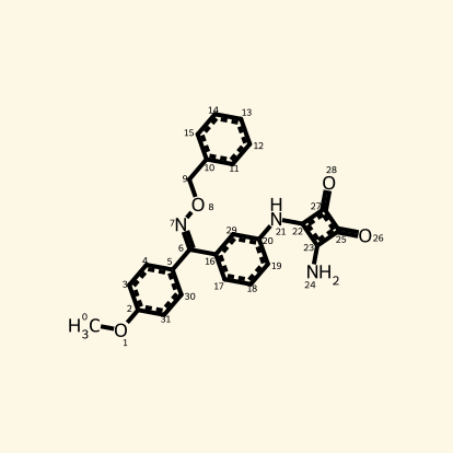 COc1ccc(C(=NOCc2ccccc2)c2cccc(Nc3c(N)c(=O)c3=O)c2)cc1